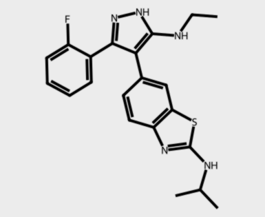 CCNc1[nH]nc(-c2ccccc2F)c1-c1ccc2nc(NC(C)C)sc2c1